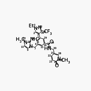 CCn1cc(-c2cc(Cn3ccn(C)c3=N)cc(C(=O)NCc3ccc(=O)n(C)c3)c2)c(C(F)(F)F)n1